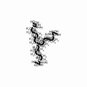 CC(=O)NC1C(OCC(C)(C)CC(C)(C)CC(=O)NCC(C)(C)CC(C)(C)NC(=O)C(C)(C)CC(C)(C)OCC(COC(C)(C)CC(C)(C)C(=O)NC(C)(C)CC(C)(C)CNC(=O)CC(C)(C)CC(C)(C)COC2OC(CO)C(O)C(O)C2NC(C)=O)OC(C)(C)CC(C)(C)C(=O)NC(C)(C)CC(C)(C)CNC(=O)CC(C)(C)CC(C)(C)COC2OC(CO)C(O)C(O)C2NC(C)=O)OC(CO)C(O)C1O